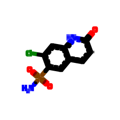 NS(=O)(=O)c1cc2c[c]c(=O)[nH]c2cc1Cl